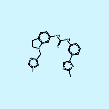 Cc1nc(-c2cccc(NC(=O)Nc3ccc4c(c3)N(Cc3c[nH]cn3)CC4)c2)cs1